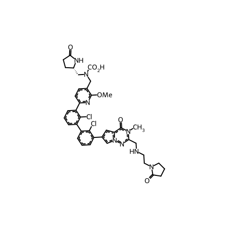 COc1nc(-c2cccc(-c3cccc(-c4cc5c(=O)n(C)c(CNCCN6CCCC6=O)nn5c4)c3Cl)c2Cl)ccc1CN(C[C@@H]1CCC(=O)N1)C(=O)O